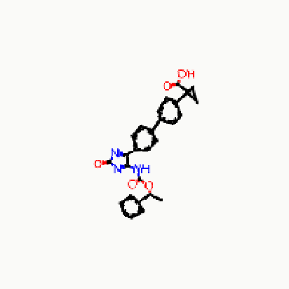 CC(OC(=O)NC1=NC(=O)N=C1c1ccc(-c2ccc(C3(C(=O)O)CC3)cc2)cc1)c1ccccc1